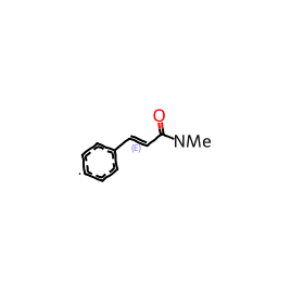 CNC(=O)/C=C/c1cc[c]cc1